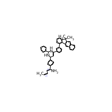 C/C=C\C=C(/N)c1ccc(C2C=C(c3cccc(-c4cccc5c4-c4cc6ccccc6cc4C5(C)C)c3)NC(c3ccccc3)N2)cc1